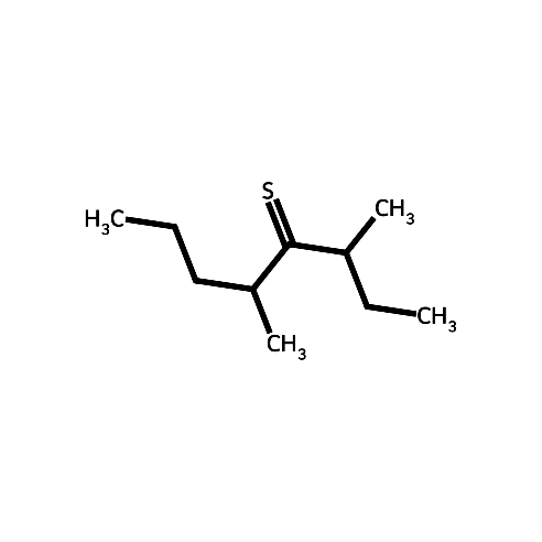 CCCC(C)C(=S)C(C)CC